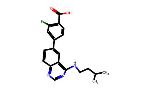 CC(C)CCNc1ncnc2ccc(-c3ccc(C(=O)O)c(F)c3)cc12